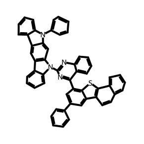 c1ccc(-c2cc(-c3nc(-n4c5ccccc5c5cc6c7ccccc7n(-c7ccccc7)c6cc54)nc4ccccc34)c3sc4c5ccccc5ccc4c3c2)cc1